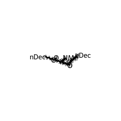 CCCCCCCCCCCCCCCOC(=O)CCCN(CCCC(=O)OCCCCCCCCCCCCCCC)CCNC